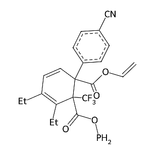 C=COC(=O)C1(c2ccc(C#N)cc2)C=CC(CC)=C(CC)C1(C(=O)OP)C(F)(F)F